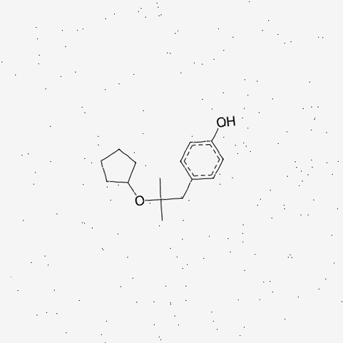 CC(C)(Cc1ccc(O)cc1)OC1CCCC1